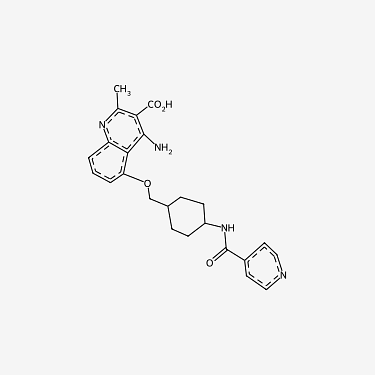 Cc1nc2cccc(OCC3CCC(NC(=O)c4ccncc4)CC3)c2c(N)c1C(=O)O